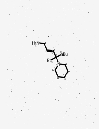 CCCCC(C=CCN)(CC)N1CCCCC1